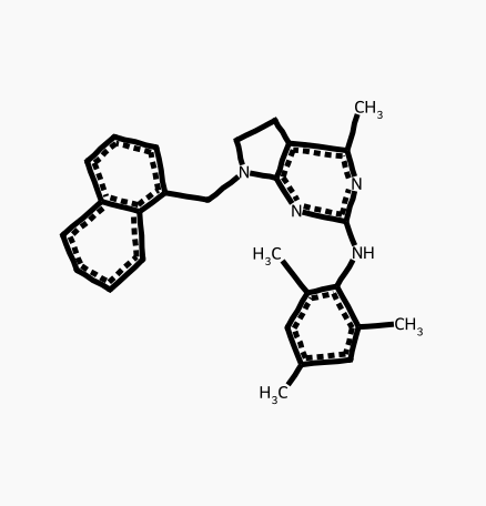 Cc1cc(C)c(Nc2nc(C)c3c(n2)N(Cc2cccc4ccccc24)CC3)c(C)c1